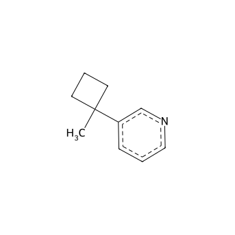 CC1(c2cccnc2)CCC1